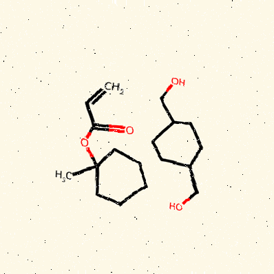 C=CC(=O)OC1(C)CCCCC1.OCC1CCC(CO)CC1